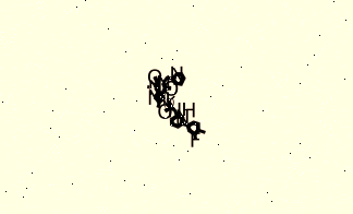 Cc1ccc(-c2cccc(NC(=O)[C@H](C)n3c(C)nc4c3c(=O)n(Cc3ccccn3)c(=O)n4C)n2)cc1F